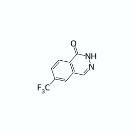 O=c1[nH]ncc2cc(C(F)(F)F)ccc12